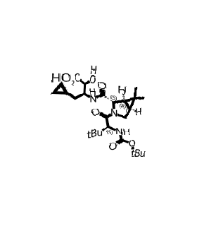 CC(C)(C)OC(=O)N[C@H](C(=O)N1C[C@H]2[C@@H]([C@H]1C(=O)NC(CC1CC1)C(O)C(=O)O)C2(C)C)C(C)(C)C